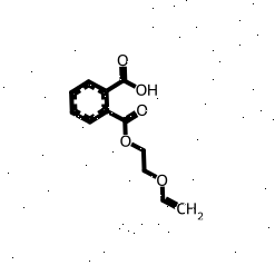 C=COCCOC(=O)c1ccccc1C(=O)O